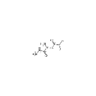 CC(C)C(=O)ON(N)C(=O)NN